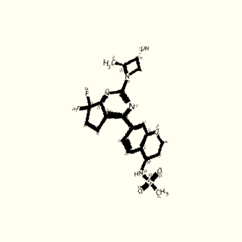 C[C@H]1[C@H](O)CN1c1nc(-c2ccc3c(c2)OCCC3NS(C)(=O)=O)c2c(n1)C(F)(F)CC2